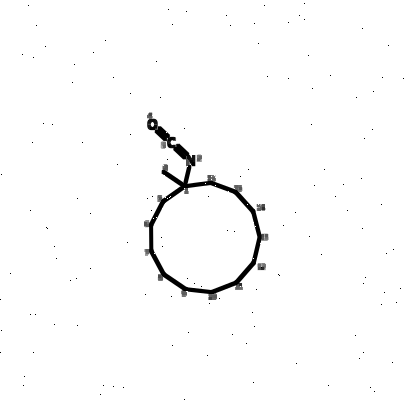 CC1(N=C=O)CCCCCCCCCCCC1